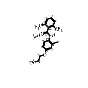 Cc1cc(OCCC(C)C)ccc1PC(=O)c1c(C(F)(F)F)cccc1C(F)(F)F.[LiH]